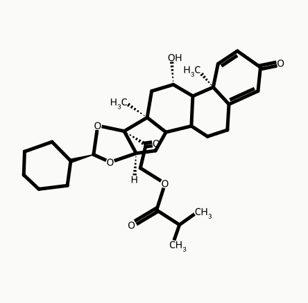 CC(C)C(=O)OCC(=O)[C@@]12O[C@H](C3CCCCC3)O[C@@H]1CC1C3CCC4=CC(=O)C=C[C@]4(C)C3[C@@H](O)C[C@@]12C